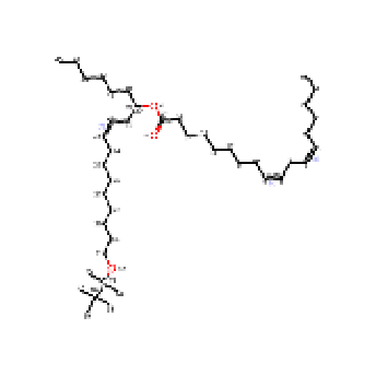 CCCCC/C=C\C/C=C\CCCCCCCC(=O)O[C@@H](C/C=C\CCCCCCCCO[Si](C)(C)C(C)(C)C)CCCCCC